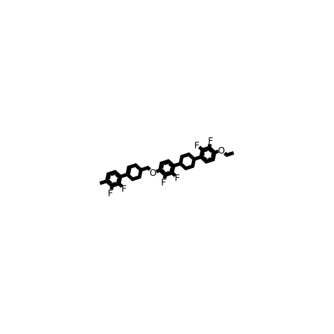 CCOc1ccc(C2CCC(c3ccc(OCC4CC=C(c5ccc(C)c(F)c5F)CC4)c(F)c3F)CC2)c(F)c1F